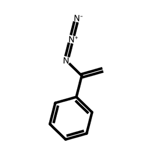 C=C(N=[N+]=[N-])c1ccccc1